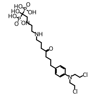 O=C(CCCNCCCCC(O)(P(=O)(O)O)P(=O)(O)O)CCCc1ccc(N(CCCl)CCCl)cc1